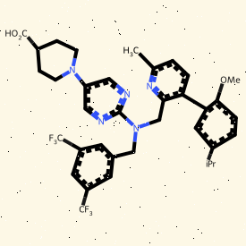 COc1ccc(C(C)C)cc1-c1ccc(C)nc1CN(Cc1cc(C(F)(F)F)cc(C(F)(F)F)c1)c1ncc(N2CCC(C(=O)O)CC2)cn1